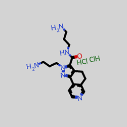 Cl.Cl.NCCCNC(=O)c1c2c(nn1CCCN)-c1ccncc1CC2